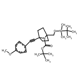 COc1ccc(C#CC23CCC(CO[Si](C)(C)C(C)(C)C)(CC2)N3C(=O)OC(C)(C)C)cc1